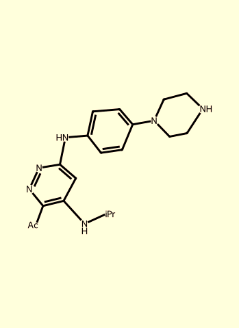 CC(=O)c1nnc(Nc2ccc(N3CCNCC3)cc2)cc1NC(C)C